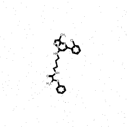 Cc1cnn2c(NCCCCNC(=O)C(C)Oc3ccccc3)cc(-c3ccccc3Cl)nc12